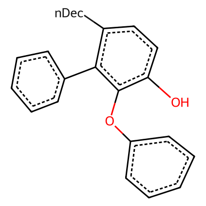 CCCCCCCCCCc1ccc(O)c(Oc2ccccc2)c1-c1ccccc1